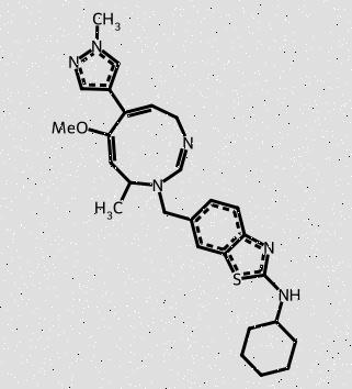 COC1=C/C(C)N(Cc2ccc3nc(NC4CCCCC4)sc3c2)/C=N\C/C=C\1c1cnn(C)c1